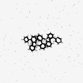 C1=CC(c2cccc3c2c2ccccc2n3-c2ccccc2-c2ccccc2-n2c3ccccc3c3c(-c4ccccc4)cccc32)=CCC1